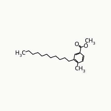 CCCCCCCCCCCc1cc(C(=O)OC)ccc1C